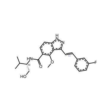 COc1c(C(=O)N[C@H](CO)C(C)C)ccc2[nH]nc(/C=C/c3cccc(F)c3)c12